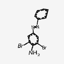 Nc1c(Br)cc(/N=N/c2ccccc2)cc1Br